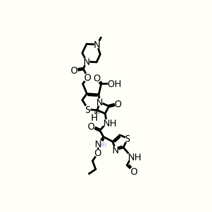 CCCO/N=C(/C(=O)NC1C(=O)N2C(C(=O)O)=C(COC(=O)N3CCN(C)CC3)CS[C@H]12)c1csc(NC=O)n1